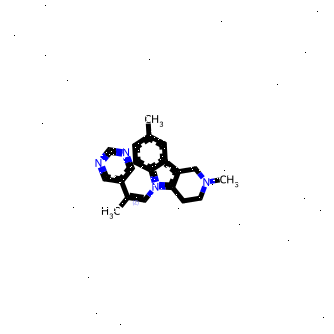 C/C(=C/n1c2c(c3cc(C)ccc31)CN(C)CC2)c1cncnc1